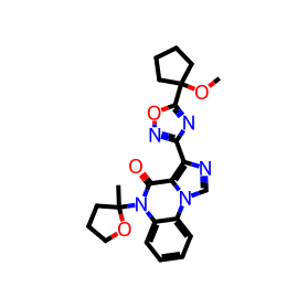 COC1(c2nc(-c3ncn4c3c(=O)n(C3(C)CCCO3)c3ccccc34)no2)CCCC1